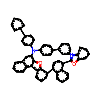 c1ccc(-c2ccc(N(c3ccc(-c4ccccc4)cc3)c3cc4ccccc4c4c3oc3c(-c5ccc(-c6nc7ccccc7o6)c6ccccc56)cccc34)cc2)cc1